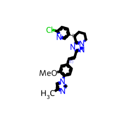 COc1cc(/C=C/c2nc3n(n2)CCC[C@H]3c2ccc(Cl)nc2)ccc1-n1cnc(C)c1